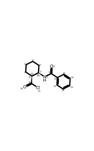 O=C(N[C@@H]1CCCC[C@@H]1C(=O)Cl)c1ccccc1